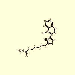 NC(=O)CCCCCCc1ncc(-c2ccc3ccccc3c2F)[nH]1